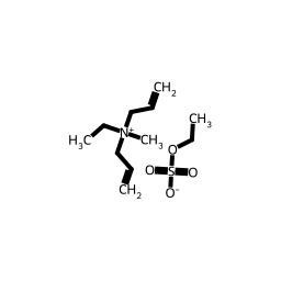 C=CC[N+](C)(CC)CC=C.CCOS(=O)(=O)[O-]